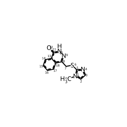 Cn1ccnc1SCc1n[nH]c(=O)c2ccccc12